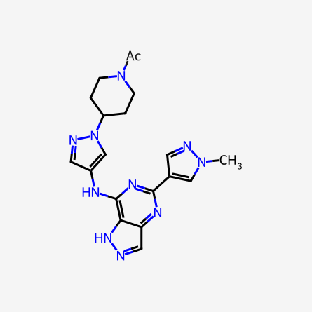 CC(=O)N1CCC(n2cc(Nc3nc(-c4cnn(C)c4)nc4cn[nH]c34)cn2)CC1